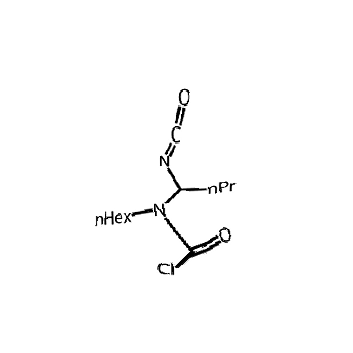 CCCCCCN(C(=O)Cl)C(CCC)N=C=O